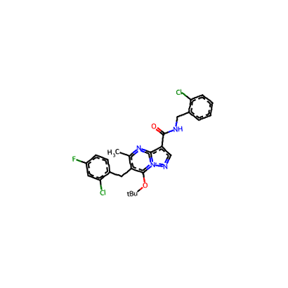 Cc1nc2c(C(=O)NCc3ccccc3Cl)cnn2c(OC(C)(C)C)c1Cc1ccc(F)cc1Cl